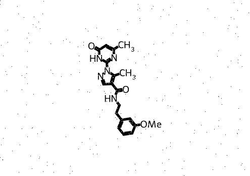 COc1cccc(CCNC(=O)c2cnn(-c3nc(C)cc(=O)[nH]3)c2C)c1